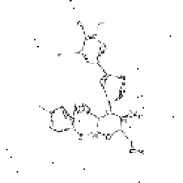 CC(=O)OCC1O[C@H](Sc2ccc(C)cc2)C(OC(C)=O)[C@@H](n2cc(-c3cc(F)c(F)c(F)c3)nn2)[C@H]1OC(C)=O